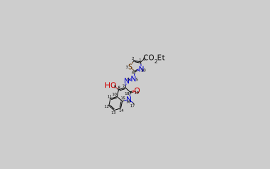 CCOC(=O)c1csc(N=Nc2c(O)c3ccccc3n(C)c2=O)n1